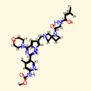 COC(=O)Nc1cc(C)c(-c2nc(N3CCOCC3)c3cc(CN4CC5(CCN5C(=O)CNC(=O)C=C(C)C)C4)cn3n2)cn1